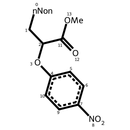 CCCCCCCCCCC(Oc1ccc([N+](=O)[O-])cc1)C(=O)OC